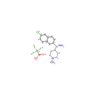 CN1CCC(C(N)c2ccc3cc(Cl)ccc3c2)CC1.O=C(O)C(F)(F)F